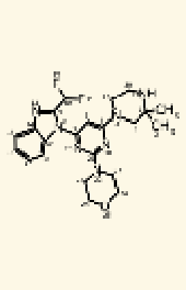 CC1(C)CN(c2cc(-n3c(C(F)F)nc4ccccc43)nc(N3CCOCC3)n2)CCN1